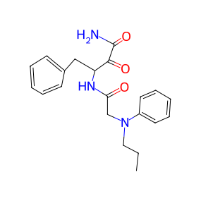 CCCN(CC(=O)NC(Cc1ccccc1)C(=O)C(N)=O)c1ccccc1